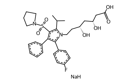 CC(C)c1c(S(=O)(=O)N2CCCC2)c(-c2ccccc2)c(-c2ccc(F)cc2)n1CC[C@@H](O)C[C@@H](O)CC(=O)O.[NaH]